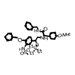 CC[Si](CC)(CC)OC(CNC(C(=O)NCc1ccccc1)c1ccc(OC)cc1)c1ccc(OCc2ccccc2)c(NS(C)(=O)=O)c1